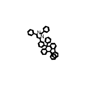 c1ccc(-c2cc(-c3cccc(C4(c5ccccc5)c5ccccc5C5(c6ccccc6)c6ccccc6-c6cccc4c65)c3)nc(-c3ccccc3)n2)cc1